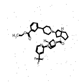 CCOC(=O)c1cccc(C2CCN([C@H]3C[C@H]4CCC[C@@]4(C(=O)N4C[C@@H]5CC4CN5c4cc(C(F)(F)F)ccn4)C3)CC2)c1